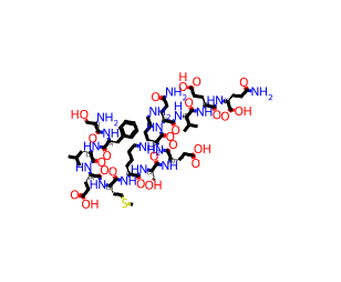 CSCC[C@H](NC(=O)[C@H](CCC(=O)O)NC(=O)[C@H](CC(C)C)NC(=O)[C@H](Cc1ccccc1)NC(=O)[C@@H](N)CO)C(=O)N[C@@H](CCCCN)C(=O)N[C@@H](CO)C(=O)N[C@@H](CCC(=O)O)C(=O)N[C@@H](CCCCN)C(=O)N[C@@H](CCC(N)=O)C(=O)N[C@H](C(=O)N[C@@H](CCC(=O)O)C(=O)N[C@@H](CCC(N)=O)C(=O)O)C(C)C